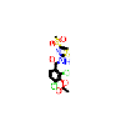 CC(=O)Oc1c(Cl)ccc(C(=O)Nc2nc(S(C)(=O)=O)cs2)c1Cl